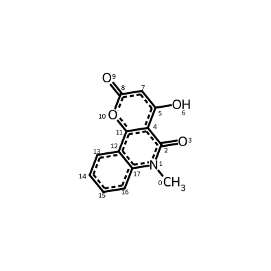 Cn1c(=O)c2c(O)cc(=O)oc2c2ccccc21